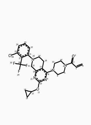 C=CC(=O)N1CCN(c2nc(OC3CC3)nc3c2CCN(c2cccc(Cl)c2C(F)(F)F)C3)CC1